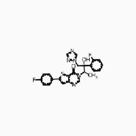 C[C@@H](n1cnc2cc(-c3ccc(F)cc3)sc2c1=O)[C@](O)(Cn1cncn1)c1ccccc1F